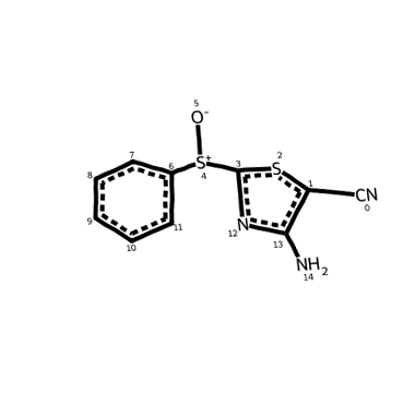 N#Cc1sc([S+]([O-])c2ccccc2)nc1N